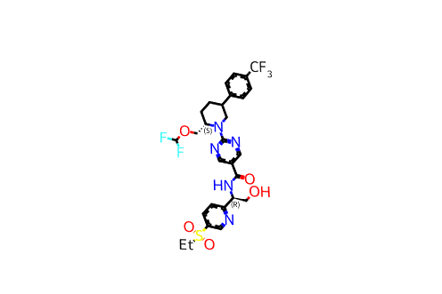 CCS(=O)(=O)c1ccc([C@H](CO)NC(=O)c2cnc(N3CC(c4ccc(C(F)(F)F)cc4)CC[C@H]3COC(F)F)nc2)nc1